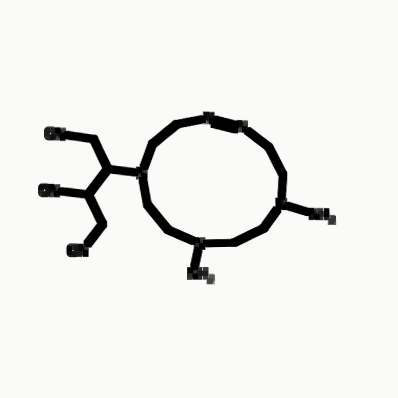 NN1CCN=NCCN(C(CN=O)C(CN=O)N=O)CCN(N)CC1